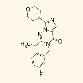 CCc1nn2c(C3CCOCC3)ncc2c(=O)n1Cc1cccc(F)c1